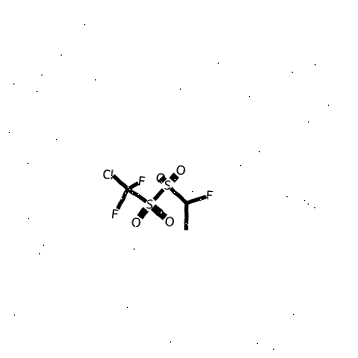 CC(F)S(=O)(=O)S(=O)(=O)C(F)(F)Cl